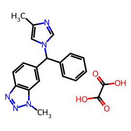 Cc1cn(C(c2ccccc2)c2ccc3nnn(C)c3c2)cn1.O=C(O)C(=O)O